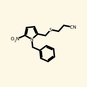 N#CCCSCc1ccc([N+](=O)[O-])n1Cc1ccccc1